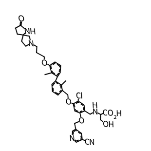 Cc1c(COc2cc(OCc3cncc(C#N)c3)c(CNC(CO)C(=O)O)cc2Cl)cccc1-c1cccc(OCCCN2CCC3(CCC(=O)N3)C2)c1C